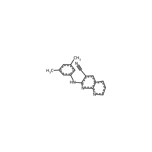 Cc1cc(C)cc(Nc2nc3ncccc3cc2C#N)c1